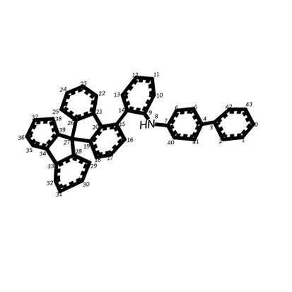 c1ccc(-c2ccc(Nc3ccccc3-c3cccc4c3-c3ccccc3C43c4ccccc4-c4ccccc43)cc2)cc1